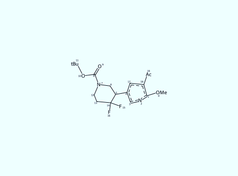 COc1ncc(C2CN(C(=O)OC(C)(C)C)CCC2(F)F)cc1C(C)=O